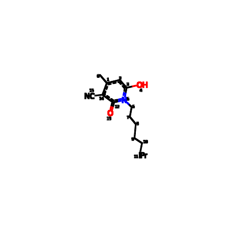 Cc1cc(O)n(CCCCCC(C)C)c(=O)c1C#N